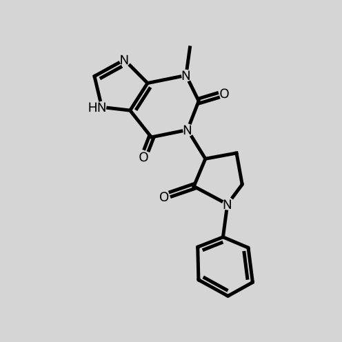 Cn1c(=O)n(C2CCN(c3ccccc3)C2=O)c(=O)c2[nH]cnc21